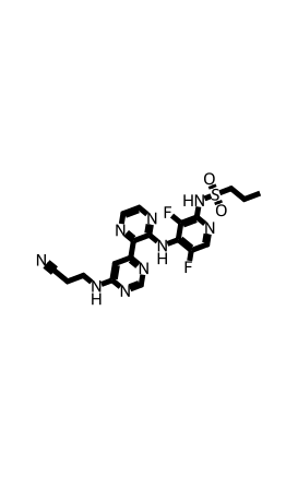 CCCS(=O)(=O)Nc1ncc(F)c(Nc2nccnc2-c2cc(NCCC#N)ncn2)c1F